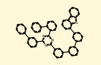 c1ccc(-c2cccc(-c3nc(-c4cccc(-c5cccc(-c6cccc(-c7cccc8c7sc7ccccc78)c6)c5)c4)nc(-c4ccccc4-c4ccccc4)n3)c2)cc1